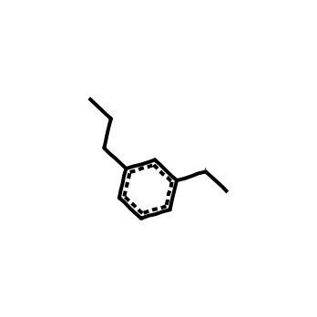 C[CH]c1cccc(CCC)c1